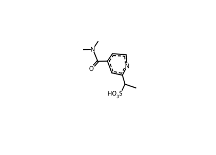 CC(c1cc(C(=O)N(C)C)ccn1)S(=O)(=O)O